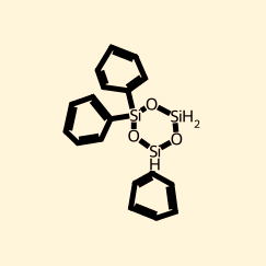 c1ccc([SiH]2O[SiH2]O[Si](c3ccccc3)(c3ccccc3)O2)cc1